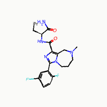 CC(C)C[C@H](NC(=O)c1nc(-c2cc(F)ccc2F)n2c1CN(C)CCC2)C(N)=O